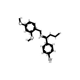 CCC/C(=N\Cc1ccc(OC)cc1OC)c1ccc(Br)cc1